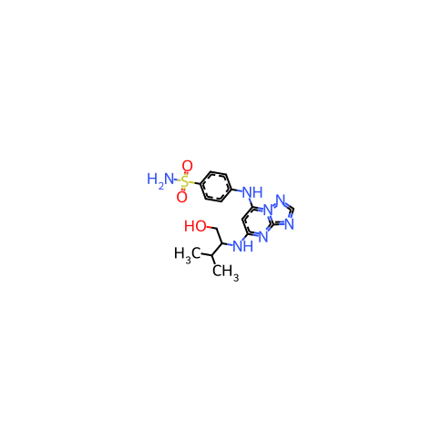 CC(C)C(CO)Nc1cc(Nc2ccc(S(N)(=O)=O)cc2)n2ncnc2n1